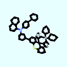 c1ccc(-c2ccc(N(c3cccc(-c4ccc5c(c4)Sc4ccccc4C54c5ccccc5[Si](c5ccccc5)(c5ccccc5)c5ccccc54)c3)c3cccc4ccccc34)cc2)cc1